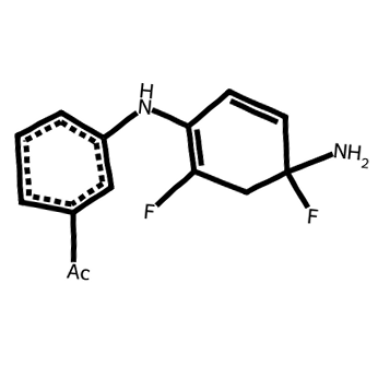 CC(=O)c1cccc(NC2=C(F)CC(N)(F)C=C2)c1